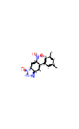 Cc1cc(C)cc(-c2cc3n[nH][n+]([O-])c3cc2[N+](=O)[O-])c1